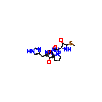 CSC1NC(C(=O)N2CCC[C@]2(C(N)=O)C(=O)[C@@H](N)Cc2c[nH]cn2)C1=O